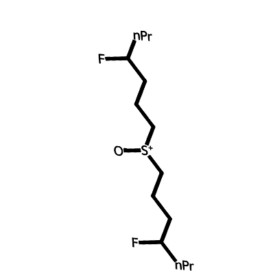 CCCC(F)CCC[S+]([O-])CCCC(F)CCC